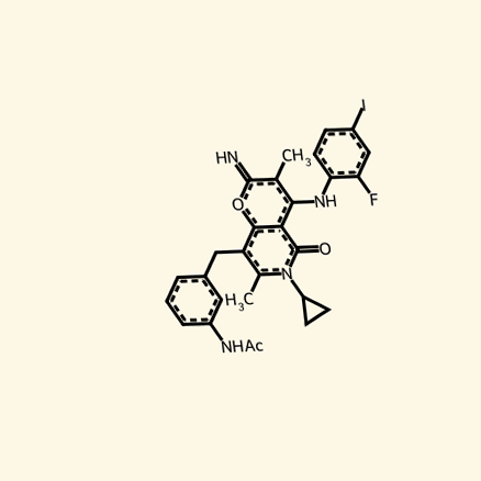 CC(=O)Nc1cccc(Cc2c(C)n(C3CC3)c(=O)c3c(Nc4ccc(I)cc4F)c(C)c(=N)oc23)c1